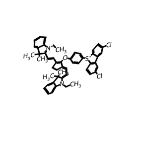 CCN1/C(=C/C=C2\CCC(/C=C/C3=[N+](CC)c4ccccc4C3(C)C)=C2Oc2ccc(-[s+]3c4ccc(Cl)cc4c4cc(Cl)ccc43)cc2)C(C)(C)c2ccccc21